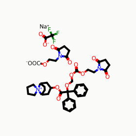 O=C(OCCN1C(=O)CCC1=O)OCOC(C(=O)OC1CC2CCC(C1)[N+]21CCCC1)(c1ccccc1)c1ccccc1.O=C([O-])C(F)(F)F.O=C([O-])OCCN1C(=O)CCC1=O.[Na+]